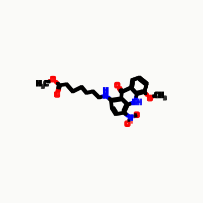 COC(=O)CCCCCCNc1ccc([N+](=O)[O-])c2[nH]c3c(OC)cccc3c(=O)c12